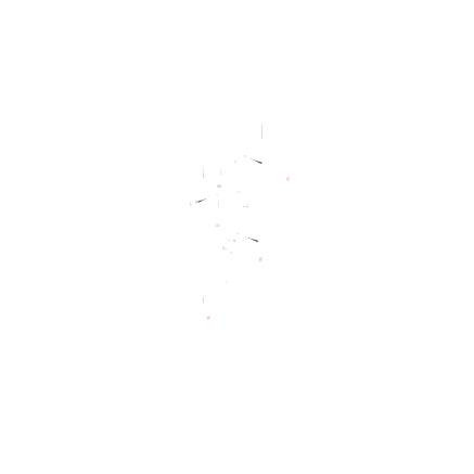 C[C@]12C=CCC=C1C(Cl)=C[C@@H]1[C@@H]2C(O)C[C@@]2(C)[C@H]1CC[C@]2(O)CCO